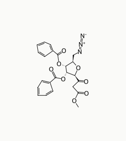 COC(=O)CC(=O)[C@@H]1O[C@H](CN=[N+]=[N-])[C@@H](OC(=O)c2ccccc2)[C@H]1OC(=O)c1ccccc1